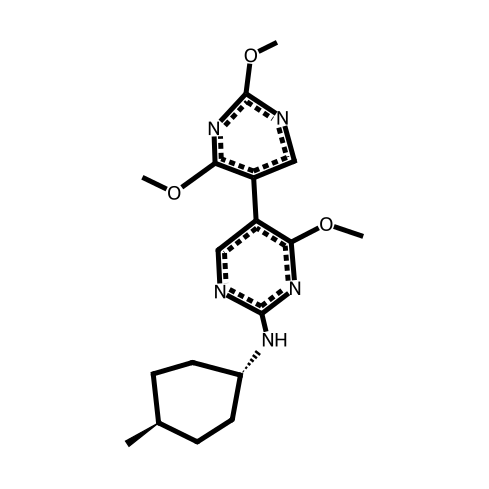 COc1ncc(-c2cnc(N[C@H]3CC[C@H](C)CC3)nc2OC)c(OC)n1